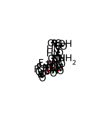 C[C@H](NC(=O)CCOCCC(=O)ON1C(=O)CCC1=O)C(=O)N[C@@H](C)C(=O)N[C@@H](CC(N)=O)C(=O)N[C@@H](CCN(C(=O)CO)[C@@H](c1cc(-c2cc(F)ccc2F)cn1Cc1ccccc1)C(C)(C)C)C(=O)NCCNC(=O)[C@@H](CCC(=O)O)NC(=O)CN1C(=O)C=CC1=O